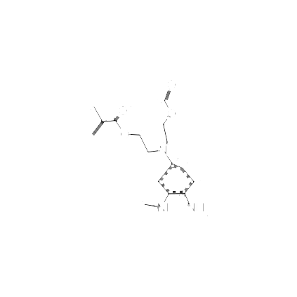 C=C(C)C(=O)OCCN(CCOC=O)c1ccc(N)c(NC)c1